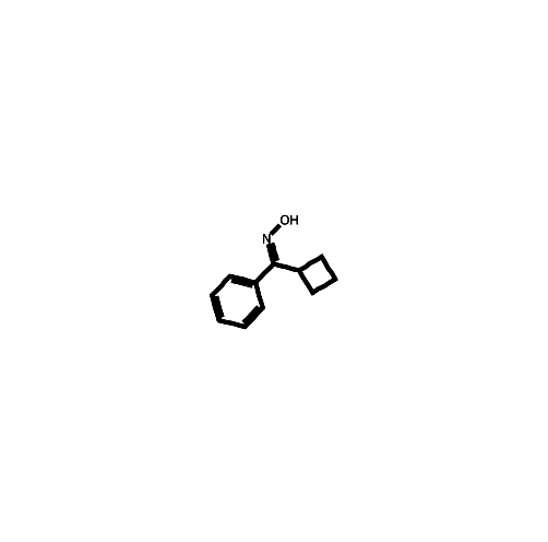 ON=C(c1ccccc1)C1CCC1